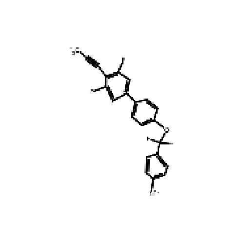 CCCc1ccc(C(F)(F)Oc2ccc(-c3cc(F)c(C#CC(F)(F)F)c(F)c3)cc2)cc1